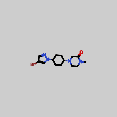 CN1CCN([C@H]2CC[C@H](n3cc(Br)cn3)CC2)CC1=O